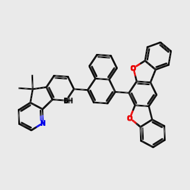 CC1(C)C2=C(BC(c3ccc(-c4c5oc6ccccc6c5cc5c4oc4ccccc45)c4ccccc34)C=C2)c2ncccc21